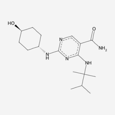 CC(C)C(C)(C)Nc1nc(N[C@H]2CC[C@H](O)CC2)ncc1C(N)=O